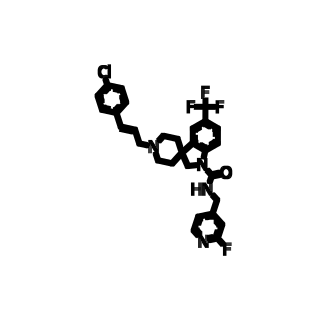 O=C(NCc1ccnc(F)c1)N1CC2(CCN(CC=Cc3ccc(Cl)cc3)CC2)c2cc(C(F)(F)F)ccc21